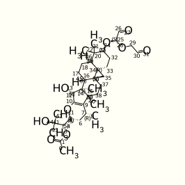 CC(=O)O[C@@H]([C@H]1C[C@@H](C)C2=C(O1)[C@H](O)[C@@]1(C)[C@@H]3CC[C@H]4C(C)(C)[C@@H](O[C@@H](C=O)OCC=O)CC[C@@]45C[C@@]35CC[C@]21C)C(C)(C)O